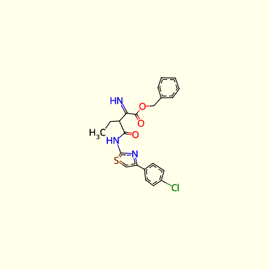 CCC(C(=N)C(=O)OCc1ccccc1)C(=O)Nc1nc(-c2ccc(Cl)cc2)cs1